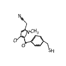 Cn1c(CC#N)cc(Cl)c1C(=O)c1ccc(CS)cc1